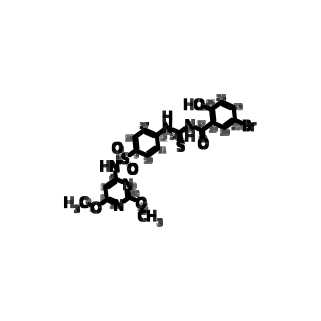 COc1cc(NS(=O)(=O)c2ccc(NC(=S)NC(=O)c3cc(Br)ccc3O)cc2)nc(OC)n1